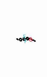 CC=C[C@H]1CC[C@H](c2cc(F)c(-c3ccc(COCCCCC)cc3)c(F)c2)CC1